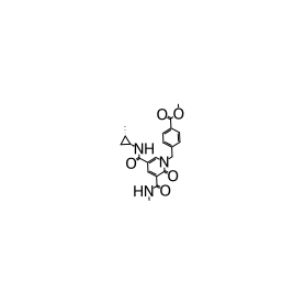 CNC(=O)c1cc(C(=O)N[C@H]2C[C@@H]2C)cn(Cc2ccc(C(=O)OC)cc2)c1=O